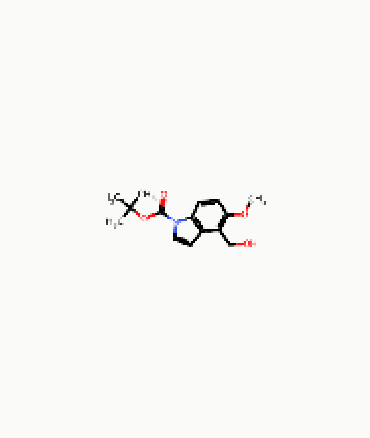 COc1ccc2c(ccn2C(=O)OC(C)(C)C)c1CO